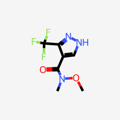 CON(C)C(=O)c1c[nH]nc1C(F)(F)F